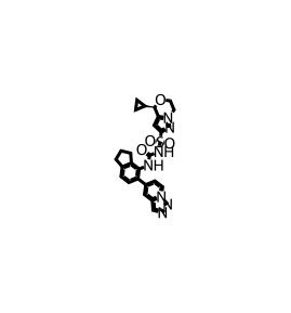 O=C(Nc1c(-c2ccn3nncc3c2)ccc2c1CCC2)NS(=O)(=O)c1cc2n(n1)CCO[C@@H]2C1CC1